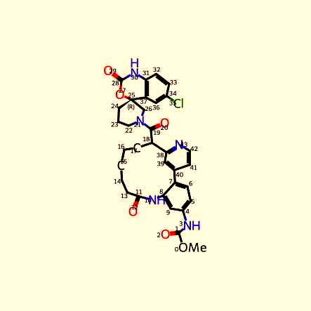 COC(=O)Nc1ccc2c(c1)NC(=O)CCCCCC(C(=O)N1CCC[C@@]3(C1)OC(=O)Nc1ccc(Cl)cc13)c1cc-2ccn1